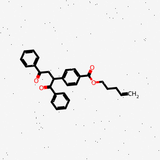 C=CCCCOC(=O)c1ccc(C(CC(=O)c2ccccc2)C(=O)c2ccccc2)cc1